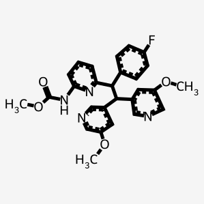 COC(=O)Nc1cccc(C(c2ccc(F)cc2)C(c2cncc(OC)c2)c2cncc(OC)c2)n1